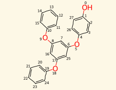 Oc1ccc(Oc2cc(Oc3ccccc3)cc(Oc3ccccc3)c2)cc1